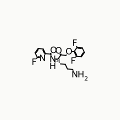 NCCCC[C@H](NC(=O)c1cccc(F)n1)C(=O)COc1c(F)cccc1F